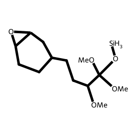 COC(CCC1CCC2OC2C1)C(OC)(OC)O[SiH3]